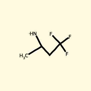 CC([NH])CC(F)(F)F